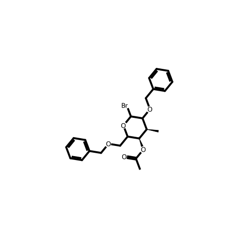 CC(=O)O[C@H]1C(COCc2ccccc2)OC(Br)C(OCc2ccccc2)[C@H]1C